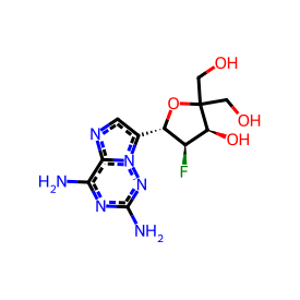 Nc1nc(N)c2ncc([C@@H]3OC(CO)(CO)[C@@H](O)[C@H]3F)n2n1